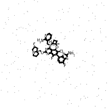 C[C@]12CC[C@@H]1N(Cc1cccnc1N)c1nc(OC[C@@]34CCCN3C[C@H](F)C4)nc3c(F)c(-c4ccc(F)c5sc(N)nc45)c(Cl)c(c13)O2